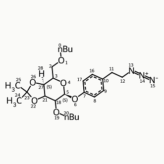 CCCCOCC1O[C@@H](Oc2ccc(CCN=[N+]=[N-])cc2)C(OCCCC)C2OC(C)(C)O[C@@H]12